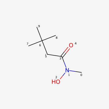 CN(O)C(=O)[CH]C(C)(C)C